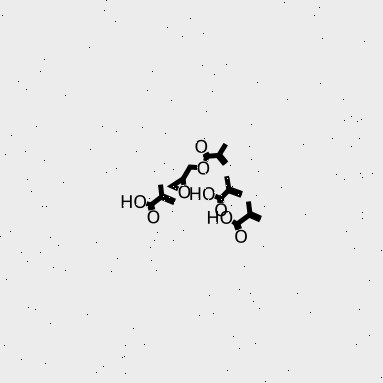 C=C(C)C(=O)O.C=C(C)C(=O)O.C=C(C)C(=O)O.C=C(C)C(=O)OCC1CO1